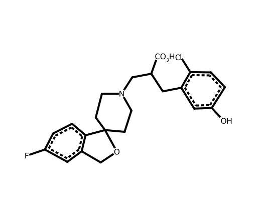 O=C(O)C(Cc1cc(O)ccc1Cl)CN1CCC2(CC1)OCc1cc(F)ccc12